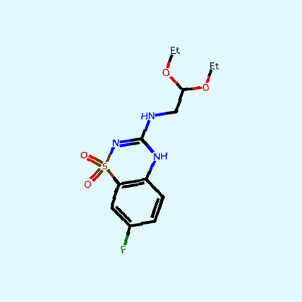 CCOC(CNC1=NS(=O)(=O)c2cc(F)ccc2N1)OCC